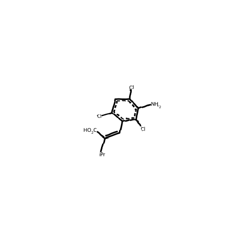 CC(C)C(=Cc1c(Cl)cc(Cl)c(N)c1Cl)C(=O)O